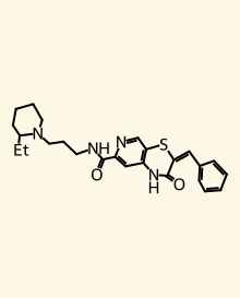 CCC1CCCCN1CCCNC(=O)c1cc2c(cn1)SC(=Cc1ccccc1)C(=O)N2